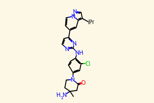 CC(C)c1cnn2ccc(-c3ccnc(Nc4ccc(N5CCC(C)(N)CC5=O)cc4Cl)n3)cc12